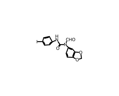 O=CN(C(=O)Nc1ccc(I)cc1)c1ccc2c(c1)OCO2